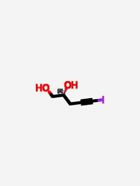 OC[C@H](O)CC#CI